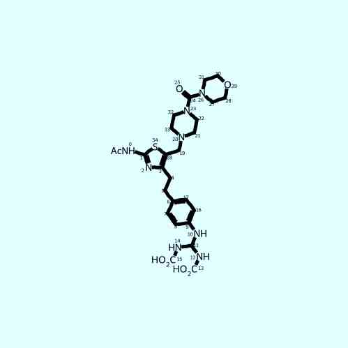 CC(=O)Nc1nc(CCc2ccc(NC(NC(=O)O)NC(=O)O)cc2)c(CN2CCN(C(=O)N3CCOCC3)CC2)s1